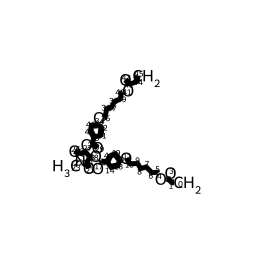 C=CC(=O)OCCCCCCOc1ccc(C(=O)O[C@H]2C(=O)N(C)C(=O)[C@@H]2OC(=O)c2ccc(OCCCCCCOC(=O)C=C)cc2)cc1